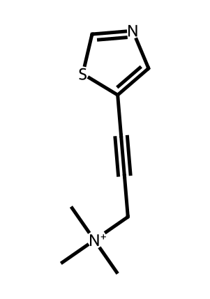 C[N+](C)(C)CC#Cc1cncs1